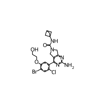 Nc1nc2c(c(-c3cc(OCCO)c(Br)cc3Cl)n1)CN(C(=O)NC13CC(C1)C3)C2